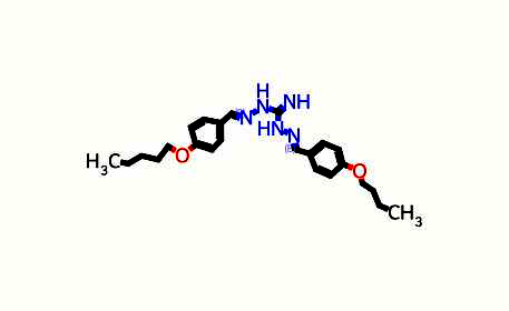 CCCCCOc1ccc(/C=N/NC(=N)N/N=C/c2ccc(OCCCC)cc2)cc1